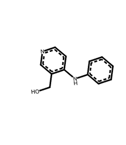 OCc1cnccc1Nc1ccccc1